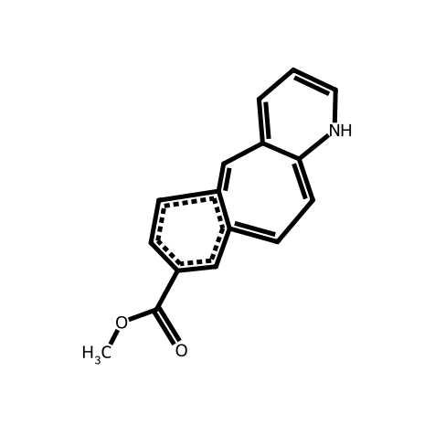 COC(=O)c1ccc2c(c1)=CC=C1NC=CC=C1C=2